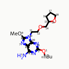 CCCCOc1nc(N)c2nc(OC)n(CCOCC3CCCO3)c2n1